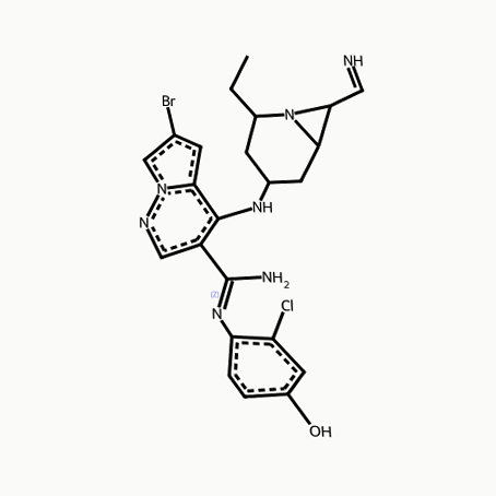 CCC1CC(Nc2c(/C(N)=N/c3ccc(O)cc3Cl)cnn3cc(Br)cc23)CC2C(C=N)N12